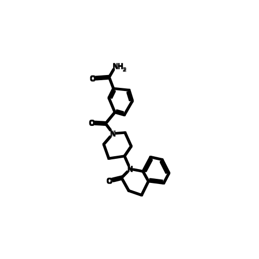 NC(=O)c1cccc(C(=O)N2CCC(N3C(=O)CCc4ccccc43)CC2)c1